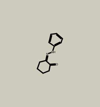 O=C1CCCCC1=NNc1ccccc1